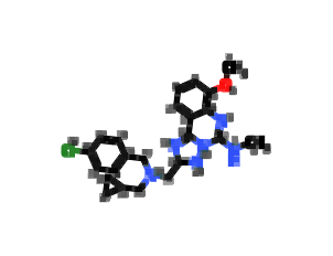 CNc1nc2c(OC)cccc2c2nc(CN(Cc3ccc(Cl)cc3)CC3CC3)nn12